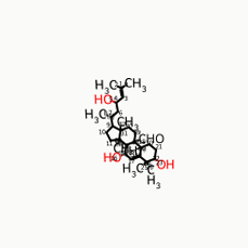 CC(C)=CC(O)C[C@@H](C)C1CC[C@@]2(C)C3[C@@H](O)C=C4[C@@H](CCC(O)C4(C)C)C3(C=O)CCC12C